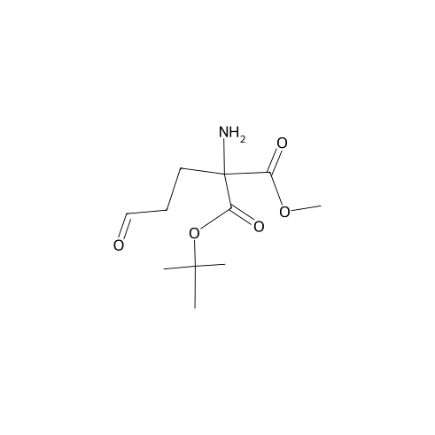 COC(=O)C(N)(CCC=O)C(=O)OC(C)(C)C